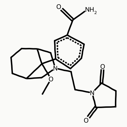 COC1(c2cccc(C(N)=O)c2)C2CCCC1CN(CCN1C(=O)CCC1=O)C2